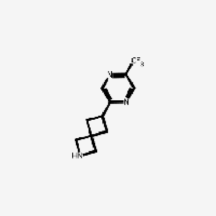 FC(F)(F)c1cnc(C2CC3(CNC3)C2)cn1